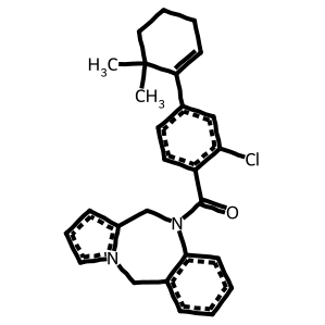 CC1(C)CCCC=C1c1ccc(C(=O)N2Cc3cccn3Cc3ccccc32)c(Cl)c1